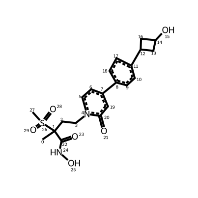 CC(CCn1ccc(-c2ccc(C3CC(O)C3)cc2)cc1=O)(C(=O)NO)S(C)(=O)=O